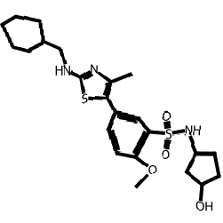 COc1ccc(-c2sc(NCC3CCCCC3)nc2C)cc1S(=O)(=O)NC1CCC(O)C1